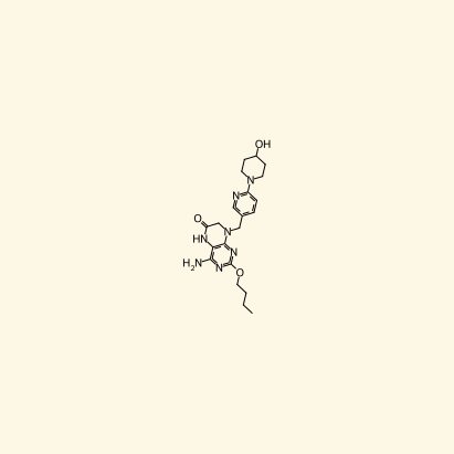 CCCCOc1nc(N)c2c(n1)N(Cc1ccc(N3CCC(O)CC3)nc1)CC(=O)N2